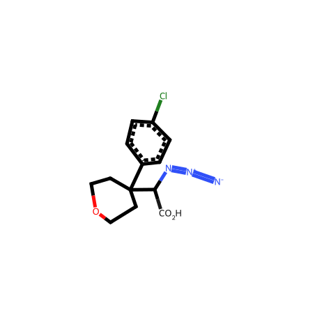 [N-]=[N+]=NC(C(=O)O)C1(c2ccc(Cl)cc2)CCOCC1